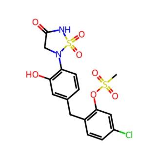 CS(=O)(=O)Oc1cc(Cl)ccc1Cc1ccc(N2CC(=O)NS2(=O)=O)c(O)c1